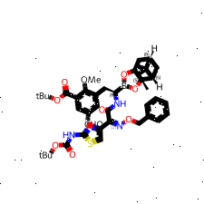 COc1c(C[C@H](NC(=O)/C(=N\OCc2ccccc2)c2csc(NC(=O)OC(C)(C)C)n2)B2OC3C[C@H]4C[C@@H](C4(C)C)[C@]3(C)O2)cc(C=O)cc1C(=O)OC(C)(C)C